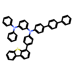 c1ccc(-c2ccc(-c3ccc(N(c4ccc(-c5cccc6c5sc5ccccc56)cc4)c4cccc(N(c5ccccc5)c5ccccc5)c4)cc3)cc2)cc1